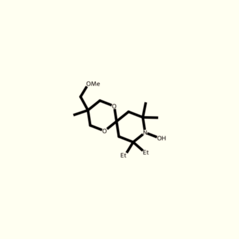 CCC1(CC)CC2(CC(C)(C)N1O)OCC(C)(COC)CO2